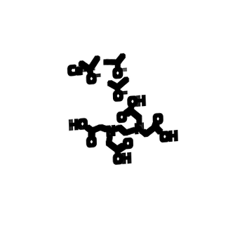 CC(C)[O-].CC(C)[O-].CC(C)[O-].O=C(O)CN(CCN(CC(=O)O)CC(=O)O)CC(=O)O.[Ce+3]